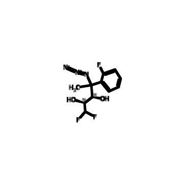 CC(N=[N+]=[N-])(c1ccccc1F)[C@@H](O)[C@H](O)C(F)F